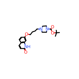 CC(C)(C)OC(=O)N1CCN(CCCCOc2ccc3ccc(=O)[nH]c3c2)CC1